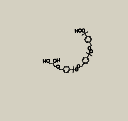 CC(C)(OO)c1ccc(COOC(C)(C)c2ccc(COOC(C)(C)c3ccc(COCC(O)CO)cc3)cc2)cc1